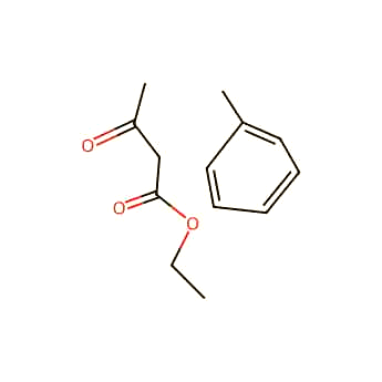 CCOC(=O)CC(C)=O.Cc1ccccc1